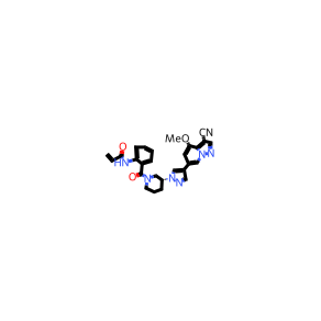 C=CC(=O)Nc1ccccc1C(=O)N1CCC[C@@H](n2cc(-c3cc(OC)c4c(C#N)cnn4c3)cn2)C1